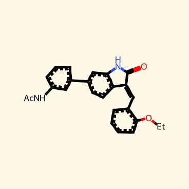 CCOc1ccccc1/C=C1/C(=O)Nc2cc(-c3cccc(NC(C)=O)c3)ccc21